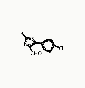 Cc1nc(C=O)c(-c2ccc(Cl)cc2)s1